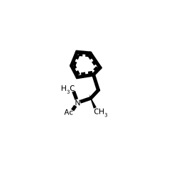 CC(=O)N(C)[C@H](C)Cc1ccccc1